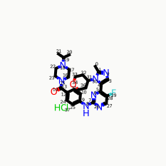 Cc1ncc(-c2nc(Nc3ccc(C(=O)N4CCN(C(C)C)CC4)cc3)ncc2F)n1C1CCOCC1.Cl